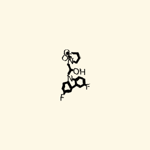 O=S1(=O)CCCCN1CC(O)Cn1c2ccc(F)cc2c2cc(F)ccc21